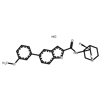 COc1cccc(-c2ccc3oc(C(=O)N[C@H]4CN5CCC4CC5)cc3c2)c1.Cl